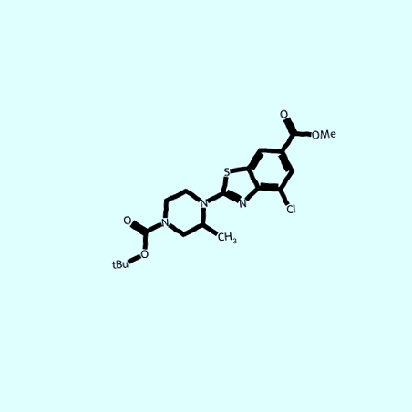 COC(=O)c1cc(Cl)c2nc(N3CCN(C(=O)OC(C)(C)C)CC3C)sc2c1